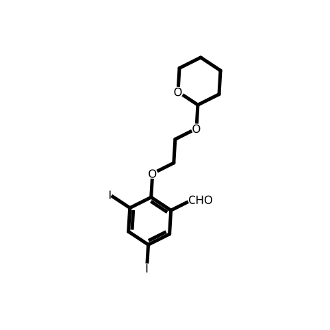 O=Cc1cc(I)cc(I)c1OCCOC1CCCCO1